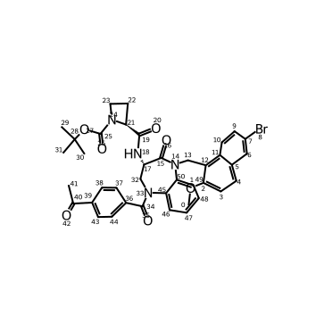 COc1ccc2cc(Br)ccc2c1CN1C(=O)[C@@H](NC(=O)[C@@H]2CCN2C(=O)OC(C)(C)C)CN(C(=O)c2ccc(C(C)=O)cc2)c2ccccc21